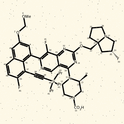 COCOc1cc(-c2ncc3c(N4CCN(C(=O)O)C[C@@H]4C)nc(OC[C@@]45CCCN4C[C@H](F)C5)nc3c2F)c2c(C#C[Si](C(C)C)(C(C)C)C(C)C)c(F)ccc2c1